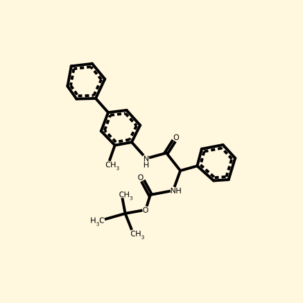 Cc1cc(-c2ccccc2)ccc1NC(=O)C(NC(=O)OC(C)(C)C)c1ccccc1